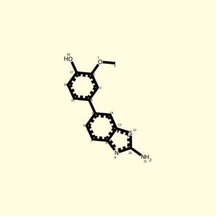 COc1cc(-c2ccc3nc(N)sc3c2)ccc1O